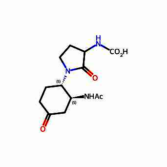 CC(=O)N[C@H]1CC(=O)CC[C@@H]1N1CCC(NC(=O)O)C1=O